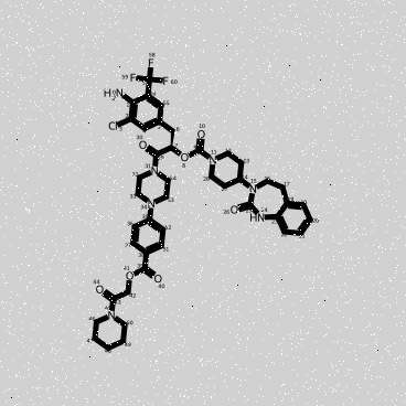 Nc1c(Cl)cc(C[C@@H](OC(=O)N2CCC(N3CCc4ccccc4NC3=O)CC2)C(=O)N2CCN(c3ccc(C(=O)OCC(=O)N4CCCCC4)cc3)CC2)cc1C(F)(F)F